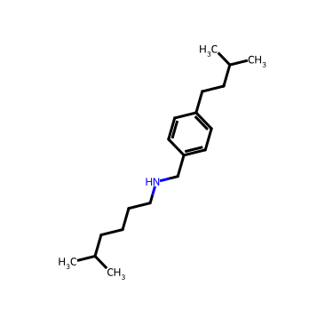 CC(C)CCCCNCc1ccc(CCC(C)C)cc1